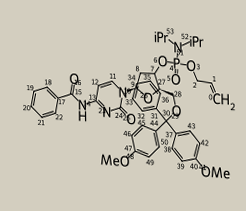 C=CCOP(=O)(OC1C[C@H](n2ccc(NC(=O)c3ccccc3)nc2=O)O[C@@H]1COC(c1ccccc1)(c1ccc(OC)cc1)c1ccc(OC)cc1)N(C(C)C)C(C)C